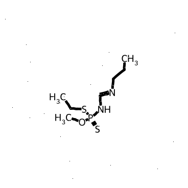 CCC/N=C/NP(=S)(OC)SCC